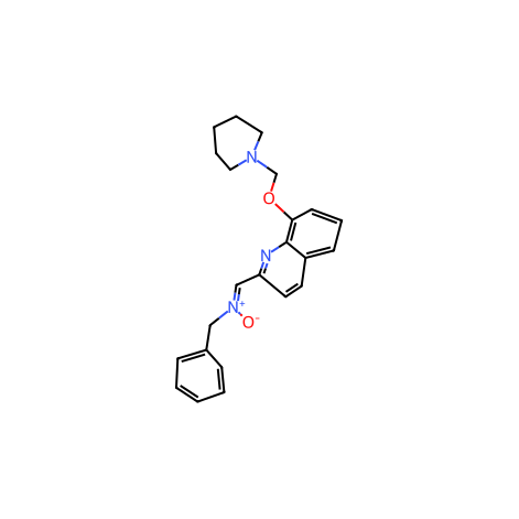 [O-]/[N+](=C\c1ccc2cccc(OCN3CCCCC3)c2n1)Cc1ccccc1